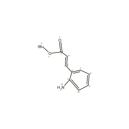 CC(C)(C)OC(=O)C=Cc1ccccc1N